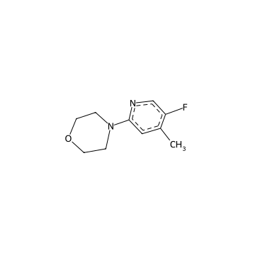 Cc1cc(N2CCOCC2)ncc1F